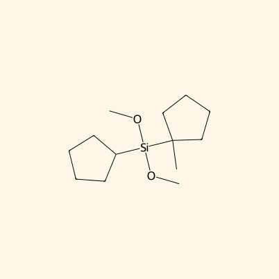 CO[Si](OC)(C1CCCC1)C1(C)CCCC1